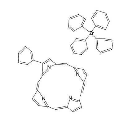 C1=CC2=NC1=CC1=NC(=CC3=NC(=CC4=NC(=C2)C=C4)C=C3c2ccccc2)C=C1.c1cc[c]([Zr]([c]2ccccc2)([c]2ccccc2)[c]2ccccc2)cc1